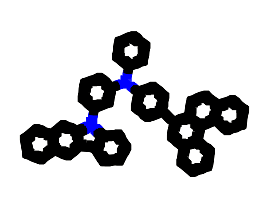 c1ccc(N(c2ccc(-c3cc4ccccc4c4c3ccc3ccccc34)cc2)c2cccc(-n3c4ccccc4c4cc5ccccc5cc43)c2)cc1